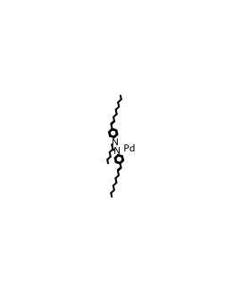 CCCCCCCC=Cc1ccc(N=CC(CCCC)=Nc2ccc(C=CCCCCCCC)cc2)cc1.[Pd]